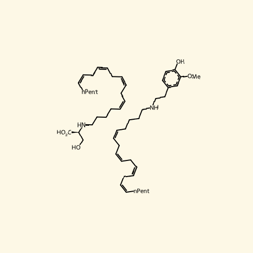 CCCCC/C=C\C/C=C\C/C=C\C/C=C\CCCCNCCc1ccc(O)c(OC)c1.CCCCC/C=C\C/C=C\C/C=C\C/C=C\CCCCN[C@@H](CO)C(=O)O